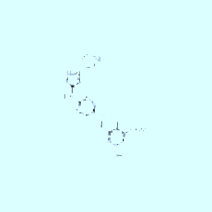 COc1cc(O)c(F)c(COc2cnc(Nc3cnn(C4CCNC4)c3)nc2)c1F